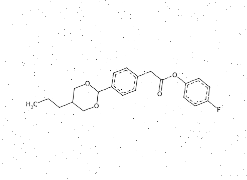 CCCC1COC(c2ccc(CC(=O)Oc3ccc(F)cc3)cc2)OC1